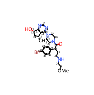 COCCNCCC(C(=O)N1CCN(c2ncnc3c2[C@H](C)C[C@H]3O)CC1)c1ccc(Br)cc1